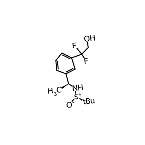 C[C@H](N[S@+]([O-])C(C)(C)C)c1cccc(C(F)(F)CO)c1